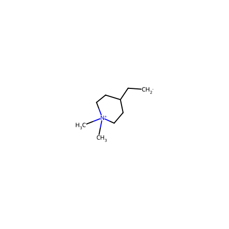 [CH2]CC1CC[N+](C)(C)CC1